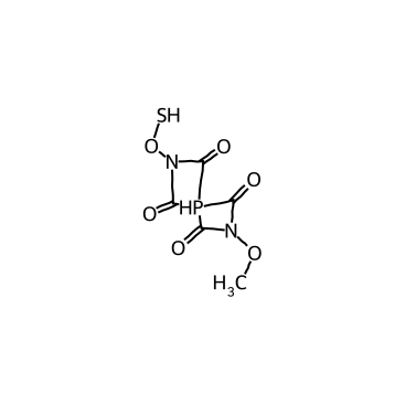 CON1C(=O)[PH]2(C1=O)C(=O)N(OS)C2=O